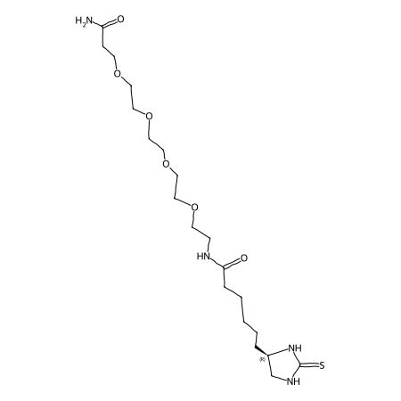 NC(=O)CCOCCOCCOCCOCCNC(=O)CCCCC[C@@H]1CNC(=S)N1